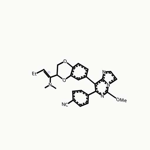 CC/C=C(/C1COc2ccc(-c3c(-c4ccc(C#N)cc4)nc(OC)n4ccnc34)cc2O1)N(C)C